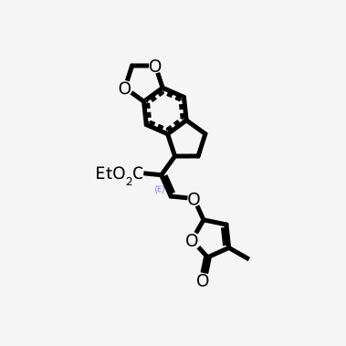 CCOC(=O)/C(=C/OC1C=C(C)C(=O)O1)C1CCc2cc3c(cc21)OCO3